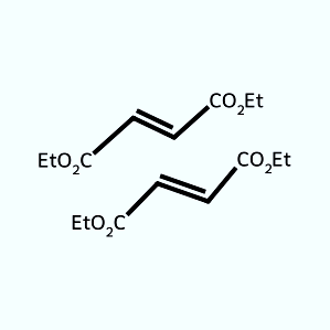 CCOC(=O)/C=C/C(=O)OCC.CCOC(=O)/C=C/C(=O)OCC